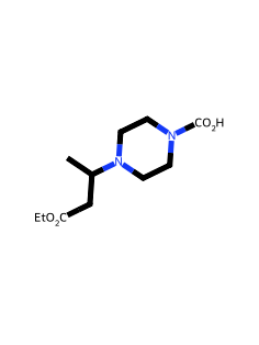 CCOC(=O)CC(C)N1CCN(C(=O)O)CC1